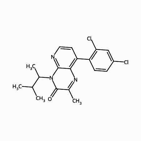 Cc1nc2c(-c3ccc(Cl)cc3Cl)ccnc2n(C(C)C(C)C)c1=O